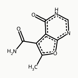 Cc1oc2nc[nH]c(=O)c2c1C(N)=O